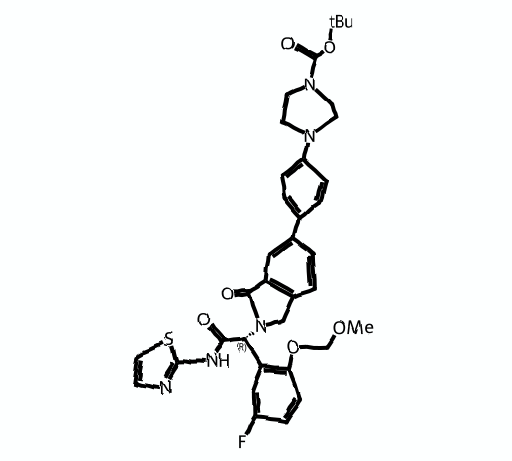 COCOc1ccc(F)cc1[C@H](C(=O)Nc1nccs1)N1Cc2ccc(-c3ccc(N4CCN(C(=O)OC(C)(C)C)CC4)cc3)cc2C1=O